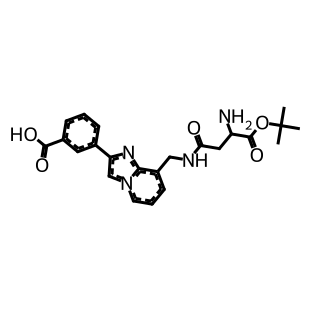 CC(C)(C)OC(=O)C(N)CC(=O)NCc1cccn2cc(-c3cccc(C(=O)O)c3)nc12